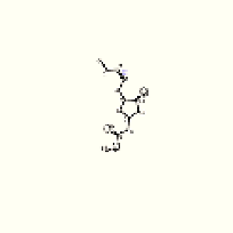 CC/C=C\CC1CC(CC(=O)OC)CC1=O